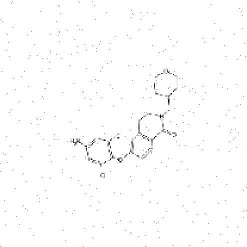 Nc1cc(Cl)c(Oc2ccc3c(c2)CCN(CC2CCOCC2)C3=O)c(Cl)c1